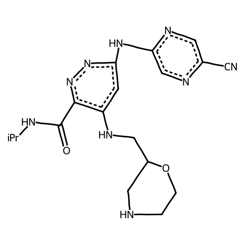 CC(C)NC(=O)c1nnc(Nc2cnc(C#N)cn2)cc1NCC1CNCCO1